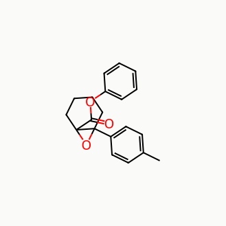 Cc1ccc(C23CCCCC2(C(=O)Oc2ccccc2)O3)cc1